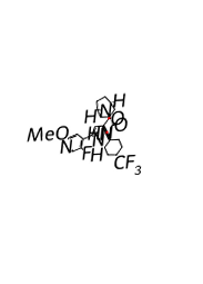 COc1cc(-c2cc(C(=O)N3[C@@H]4CC[C@H]3C[C@H](C(=O)N[C@H]3CC[C@H](C(F)(F)F)CC3)C4)n[nH]2)c(F)cn1